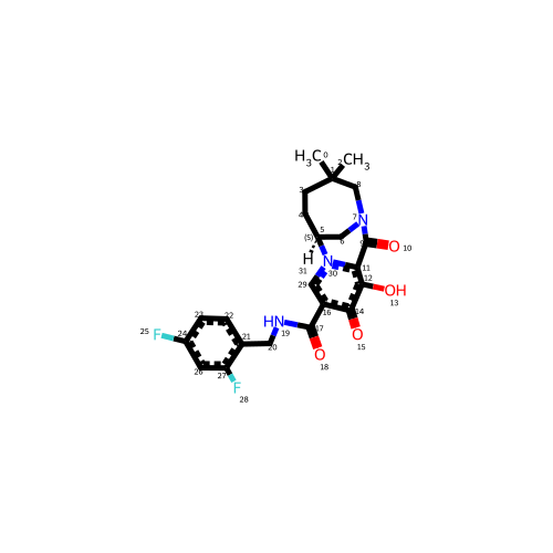 CC1(C)CC[C@H]2CN(C1)C(=O)c1c(O)c(=O)c(C(=O)NCc3ccc(F)cc3F)cn12